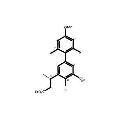 CCOC(=O)C[C@H](C)c1cc(-c2c(C)cc(OC)cc2C)cc(C(F)(F)F)c1F